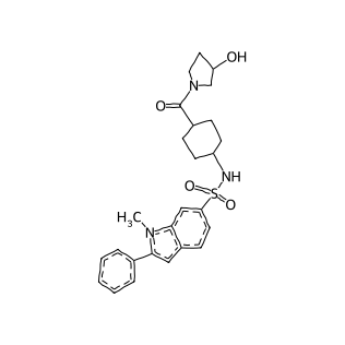 Cn1c(-c2ccccc2)cc2ccc(S(=O)(=O)NC3CCC(C(=O)N4CCC(O)C4)CC3)cc21